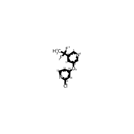 CC(F)(F)c1cncc(Oc2ccnc(Cl)c2)c1